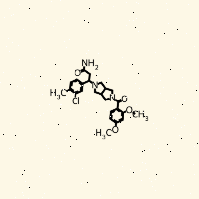 COc1ccc(C(=O)N2CC3CN(C(CC(N)=O)c4ccc(C)c(Cl)c4)CC3C2)c(OC)c1